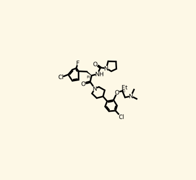 CC[C@@H](CN(C)C)Oc1cc(Cl)ccc1C1CCN(C(=O)[C@@H](Cc2ccc(Cl)cc2F)NC(=O)N2CCCC2)CC1